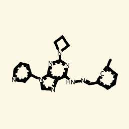 Cc1cccc(C=NNc2nc(N3CCC3)nc3c2ncn3-c2cccnc2)c1